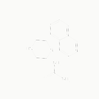 C1CNCCN1.NC(N)=O.c1ccc2ccccc2c1